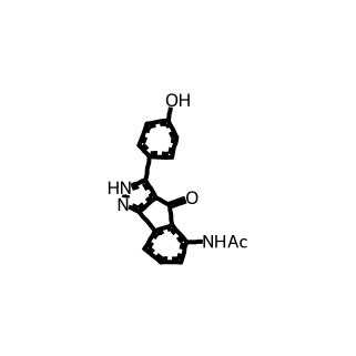 CC(=O)Nc1cccc2c1C(=O)c1c-2n[nH]c1-c1ccc(O)cc1